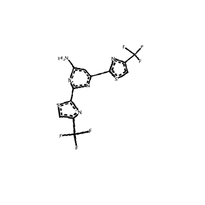 Nc1cc(-c2nc(C(F)(F)F)cs2)nc(-c2nc(C(F)(F)F)cs2)n1